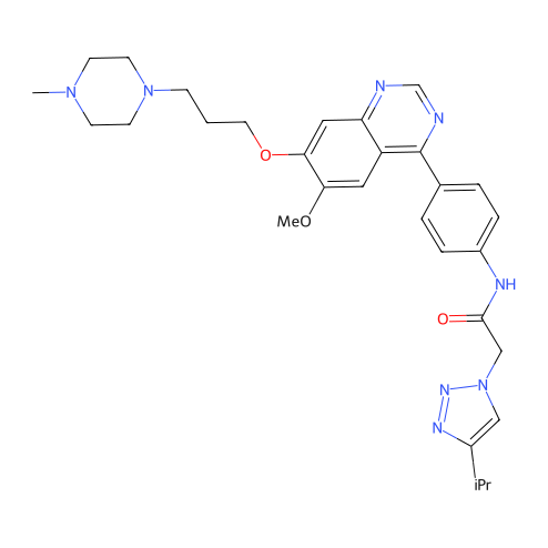 COc1cc2c(-c3ccc(NC(=O)Cn4cc(C(C)C)nn4)cc3)ncnc2cc1OCCCN1CCN(C)CC1